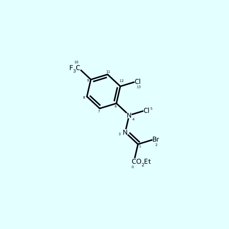 CCOC(=O)C(Br)=NN(Cl)c1ccc(C(F)(F)F)cc1Cl